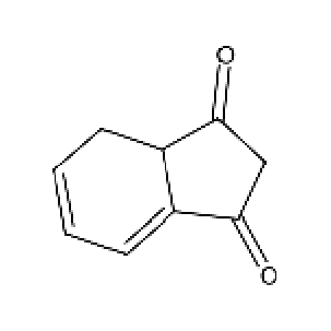 O=C1CC(=O)C2CC=CC=C12